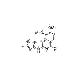 COc1ccc2c(Cl)nc(Nc3cc(C)[nH]n3)cc2c1OC